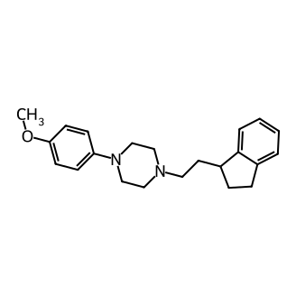 COc1ccc(N2CCN(CCC3CCc4ccccc43)CC2)cc1